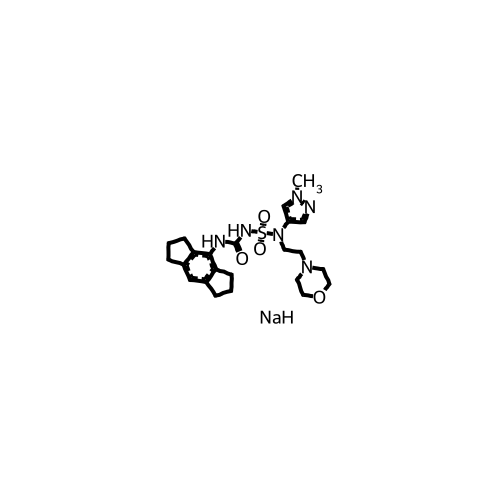 Cn1cc(N(CCN2CCOCC2)S(=O)(=O)NC(=O)Nc2c3c(cc4c2CCC4)CCC3)cn1.[NaH]